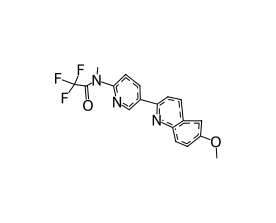 COc1ccc2nc(-c3ccc(N(C)C(=O)C(F)(F)F)nc3)ccc2c1